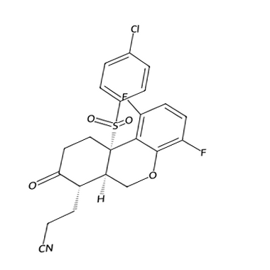 N#CCC[C@@H]1C(=O)CC[C@@]2(S(=O)(=O)c3ccc(Cl)cc3)c3c(F)ccc(F)c3OC[C@@H]12